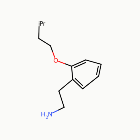 CC(C)CCOc1ccccc1CCN